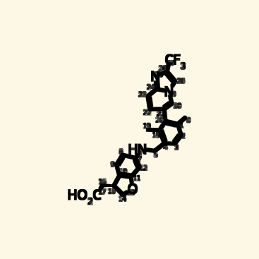 Cc1ccc(CNc2ccc3c(c2)OC[C@H]3CC(=O)O)c(C)c1-c1ccc2nc(C(F)(F)F)cn2c1